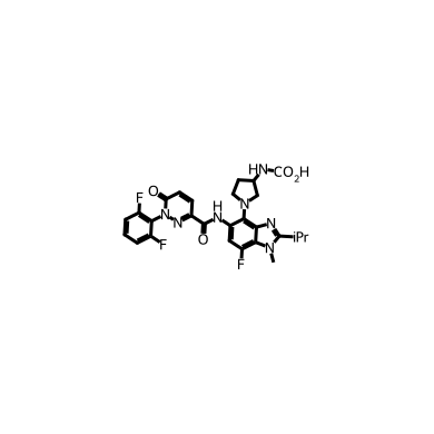 CC(C)c1nc2c(N3CCC(NC(=O)O)C3)c(NC(=O)c3ccc(=O)n(-c4c(F)cccc4F)n3)cc(F)c2n1C